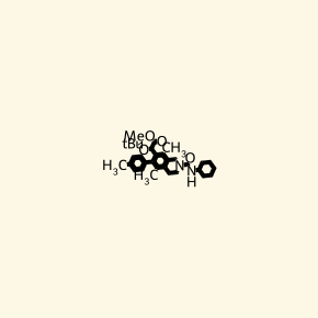 COC(=O)C(OC(C)(C)C)c1c(C)c2c(c(C)c1-c1ccc(C)cc1)CCN(C(=O)NC1CCCCC1)C2